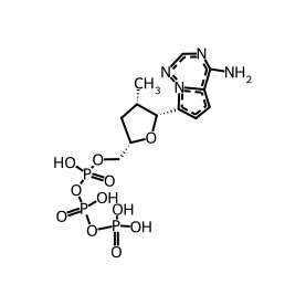 C[C@H]1C[C@@H](COP(=O)(O)OP(=O)(O)OP(=O)(O)O)O[C@H]1c1ccc2c(N)ncnn12